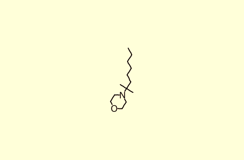 CCCCCCC(C)(C)N1CCOCC1